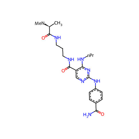 CCCNc1nc(Nc2ccc(C(N)=O)cc2)ncc1C(=O)NCCCNC(=O)[C@H](C)NC